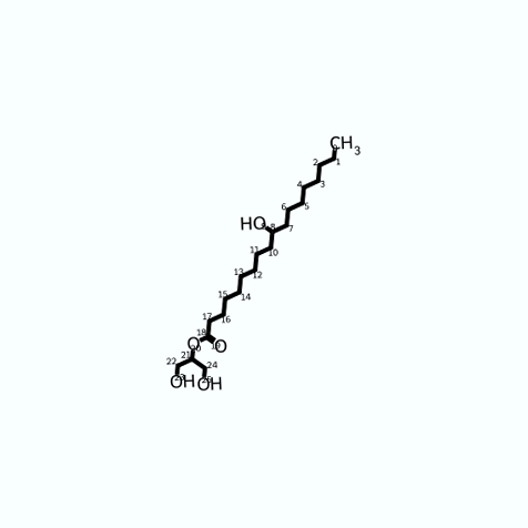 CCCCCCCCC(O)CCCCCCCCC(=O)OC(CO)CO